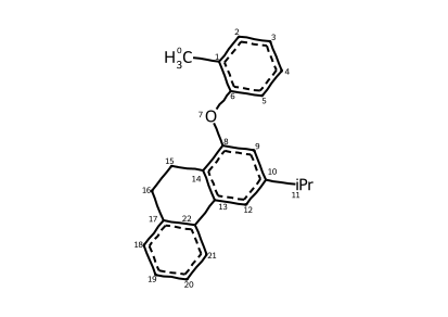 Cc1ccccc1Oc1cc(C(C)C)cc2c1CCc1ccccc1-2